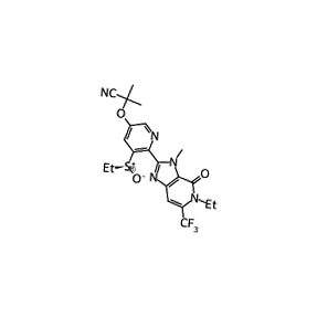 CCn1c(C(F)(F)F)cc2nc(-c3ncc(OC(C)(C)C#N)cc3[S@@+]([O-])CC)n(C)c2c1=O